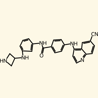 N#Cc1ccc2nccc(Nc3ccc(C(=O)Nc4cccc(NC5CNC5)c4)cc3)c2c1